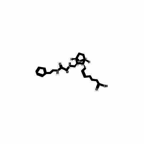 O=C(O)CCC/C=C\C[C@@H]1[C@@H](CNC(=O)C(=O)NCCc2ccccc2)[C@@H]2CC[C@H]1O2